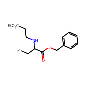 CCOC(=O)CCNC(CC(C)C)C(=O)OCc1ccccc1